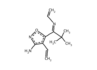 C=C/N=C(\c1onc(N)c1C=C)C(C)(C)C